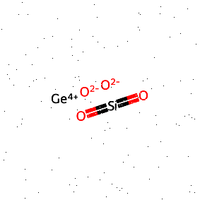 O=[Si]=O.[Ge+4].[O-2].[O-2]